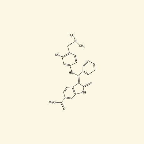 COC(=O)c1ccc2c(c1)NC(=O)C2=C(Nc1ccc(CN(C)C)c(C#N)c1)c1ccccc1